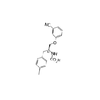 N#Cc1cccc(OC[C@H](Cc2ccc(I)cc2)NC(=O)O)c1